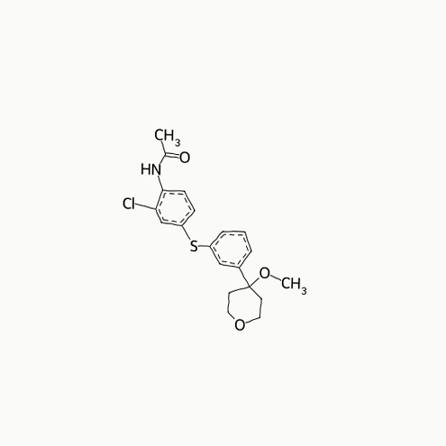 COC1(c2cccc(Sc3ccc(NC(C)=O)c(Cl)c3)c2)CCOCC1